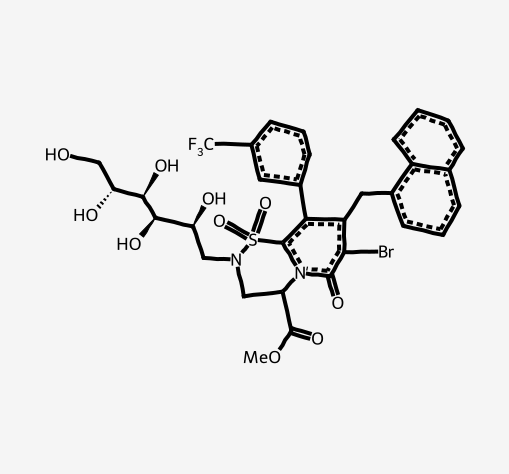 COC(=O)C1CN(C[C@H](O)[C@@H](O)[C@H](O)[C@H](O)CO)S(=O)(=O)c2c(-c3cccc(C(F)(F)F)c3)c(Cc3cccc4ccccc34)c(Br)c(=O)n21